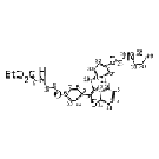 CCOC(=O)CNCCOc1ccc(-c2sc3ccccc3c2Cc2ccc(OCCN3CCCC3)cc2)cc1